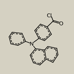 O=C(Cl)c1ccc(N(c2ccccc2)c2cccc3ccccc23)cc1